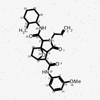 C=CCN1C(=O)C2C(C(=O)Nc3cccc(OC)c3)C3CCC2(O3)C1C(=O)NC1CCCCC1C